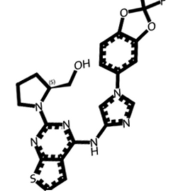 OC[C@@H]1CCCN1c1nc(Nc2cn(-c3ccc4c(c3)OC(F)(F)O4)cn2)c2ccsc2n1